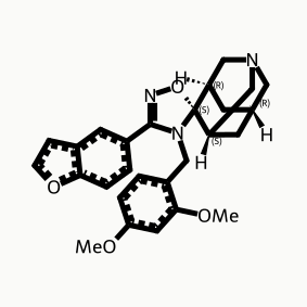 COc1ccc(CN2C(c3ccc4occc4c3)=NO[C@@]23[C@@H]2C[C@H]4C[C@H]3CN(C4)C2)c(OC)c1